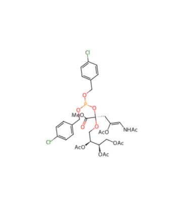 COC(=O)[C@](C/C(=C/NC(C)=O)OC(C)=O)(OC[C@H](OC(C)=O)[C@@H](COC(C)=O)OC(C)=O)OP(OCc1ccc(Cl)cc1)OCc1ccc(Cl)cc1